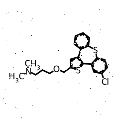 CN(C)CCCOCc1cc2c(s1)-c1cc(Cl)ccc1Sc1ccccc1-2